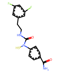 NC(=O)c1ccc(N(S)C(=O)NCCc2cc(F)cc(F)c2)cc1